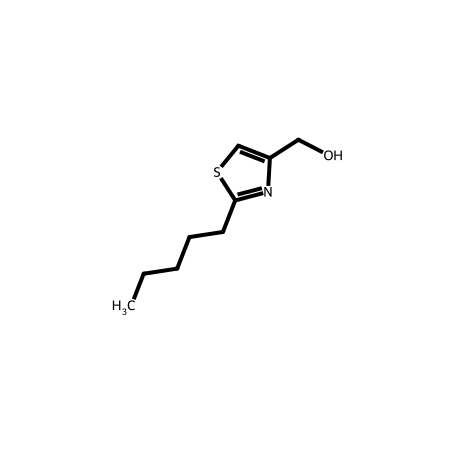 CCCCCc1nc(CO)cs1